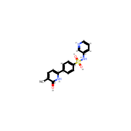 N#Cc1ccc(-c2ccc(S(=O)(=O)Nc3cccnc3)cc2)[nH]c1=O